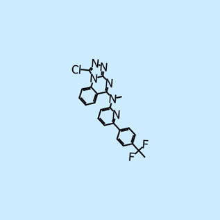 CN(c1cccc(-c2ccc(C(C)(F)F)cc2)n1)c1nc2nnc(Cl)n2c2ccccc12